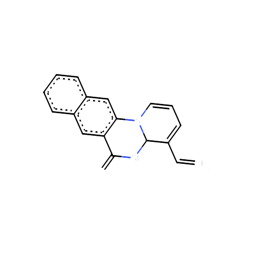 C=CC1=CC=CN2c3cc4ccccc4cc3C(=C)NC12